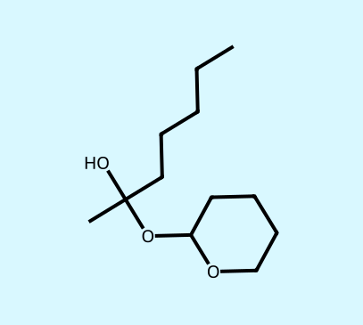 CCCCCC(C)(O)OC1CCCCO1